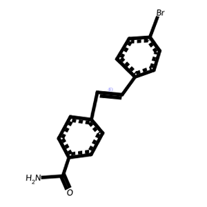 NC(=O)c1ccc(/C=C/c2ccc(Br)cc2)cc1